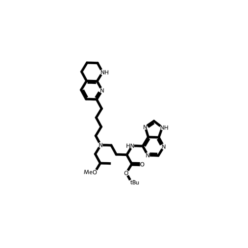 COC(C)CN(CCCCc1ccc2c(n1)NCCC2)CCC(Nc1ncnc2[nH]cnc12)C(=O)OC(C)(C)C